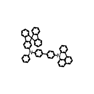 c1ccc(N(c2ccc(-c3ccc(N4c5ccccc5-c5cccc6cccc4c56)cc3)cc2)c2ccc3c(c2)C2(c4ccccc4-c4ccccc42)c2ccccc2-3)cc1